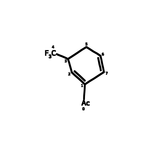 CC(=O)C1=CC(C(F)(F)F)CC=C1